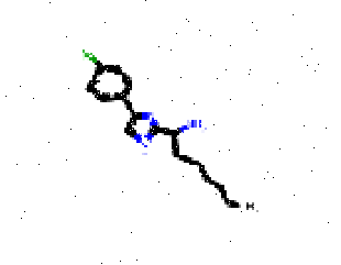 CCCCCCC(N)c1nc(-c2ccc(Br)cc2)c[nH]1